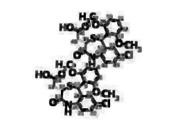 COc1cccc(OC)c1[C@@H]1S[C@@H](CC(=O)O)C(=O)Nc2ccc(Cl)cc21.COc1cccc(OC)c1[C@@H]1S[C@@H](CC(=O)O)C(=O)Nc2ccc(Cl)cc21